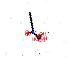 CCCCCCCCCCCCCCCC[N+](C)(CCCCC1O[C@H](CO)[C@@H](O)[C@H](O)[C@H]1O)CCCS(=O)(=O)[O-]